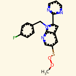 COOSc1cnc2c(c1)cc(-c1ncccn1)n2Cc1ccc(F)cc1